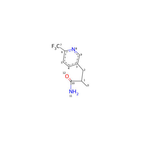 CC(Cc1ccc(C(F)(F)F)nc1)C(N)=O